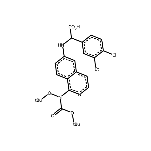 CCc1cc(C(Nc2ccc3c(N(OC(C)(C)C)C(=O)OC(C)(C)C)nccc3c2)C(=O)O)ccc1Cl